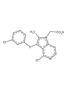 Cc1c(Sc2cccc(Cl)c2)c2c(Cl)nccc2n1CC(=O)O